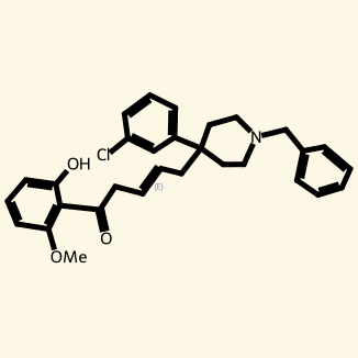 COc1cccc(O)c1C(=O)C/C=C/CC1(c2cccc(Cl)c2)CCN(Cc2ccccc2)CC1